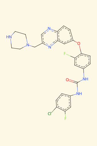 O=C(Nc1ccc(Cl)c(F)c1)Nc1ccc(Oc2ccc3ncc(CN4CCNCC4)nc3c2)c(F)c1